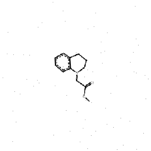 COC(=O)CN1CCCc2cc[c]cc21